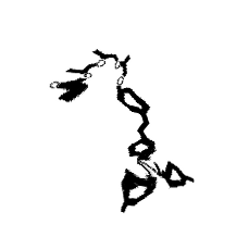 C=CC(=O)OC(C)COC(C)COC(C)COc1ccc(CCc2ccc(N(c3ccc(C)cc3)c3ccc(C)cc3)cc2)cc1